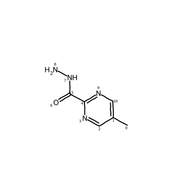 Cc1cnc(C(=O)NN)nc1